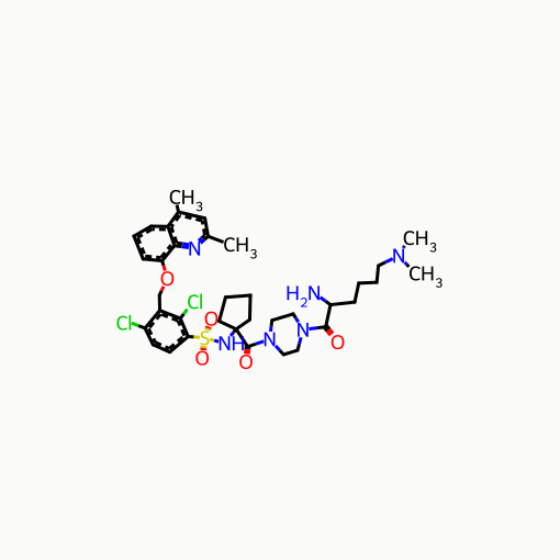 Cc1cc(C)c2cccc(OCc3c(Cl)ccc(S(=O)(=O)NC4(C(=O)N5CCN(C(=O)C(N)CCCCN(C)C)CC5)CCCC4)c3Cl)c2n1